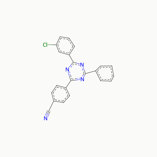 N#Cc1ccc(-c2nc(-c3ccccc3)nc(-c3cccc(Cl)c3)n2)cc1